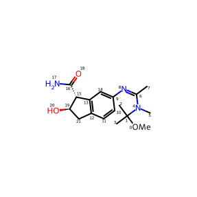 COC(C)(C)N(C)C(C)=Nc1ccc2c(c1)[C@@H](C(N)=O)[C@H](O)C2